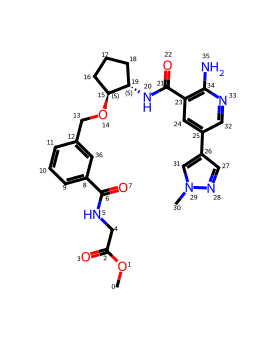 COC(=O)CNC(=O)c1cccc(CO[C@H]2CCC[C@@H]2NC(=O)c2cc(-c3cnn(C)c3)cnc2N)c1